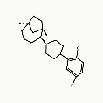 Cc1ccc(F)cc1C1CCN([C@H]2CCC[C@H]3CC[C@H]2C3)CC1